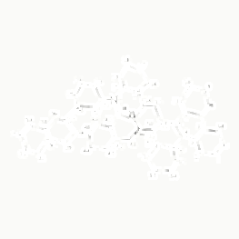 c1ccc(-c2c(-c3ccccc3)c3cc(-c4ccccc4N(c4cccc(-c5ccc6ccccc6c5)c4)c4cccc5ccccc45)ccc3c3ccccc23)cc1